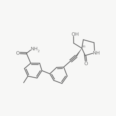 Cc1cc(C(N)=O)cc(-c2cccc(C#C[C@@]3(CO)CCNC3=O)c2)c1